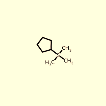 CS(C)(C)C1CCCC1